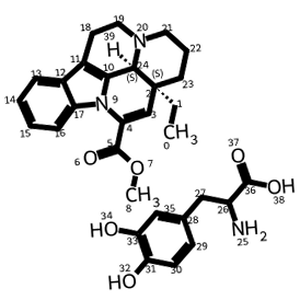 CC[C@@]12C=C(C(=O)OC)n3c4c(c5ccccc53)CCN(CCC1)[C@H]42.NC(Cc1ccc(O)c(O)c1)C(=O)O